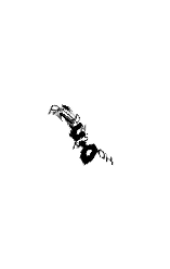 CS(=O)(=O)Nc1cnc2sc(-c3cccc(O)c3)nc2c1